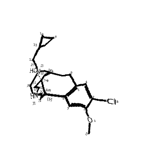 COc1cc2c(cc1Cl)CC1N(CC3CC3)CC[C@@]23CCNCC[C@@]13O